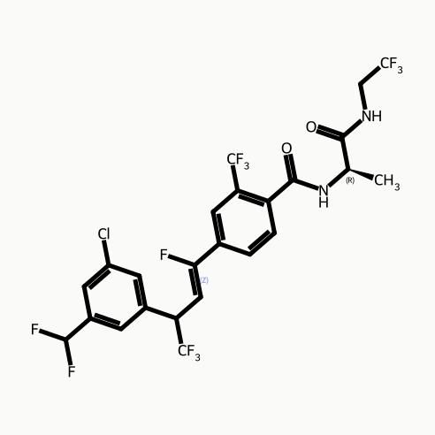 C[C@@H](NC(=O)c1ccc(/C(F)=C/C(c2cc(Cl)cc(C(F)F)c2)C(F)(F)F)cc1C(F)(F)F)C(=O)NCC(F)(F)F